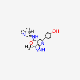 Cc1n[nH]c2nc(-c3ccc(O)cc3)cc(C(=O)N[C@H]3CN4CCC45CC[C@@H]35)c12